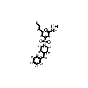 CCCCCC(CC(=O)NO)S(=O)(=O)N1CCC(Cc2ccccc2)CC1